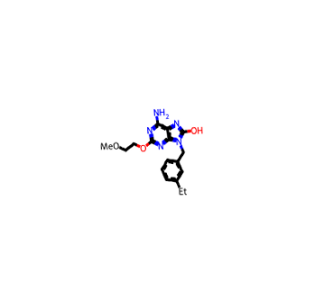 CCc1cccc(Cn2c(O)nc3c(N)nc(OCCOC)nc32)c1